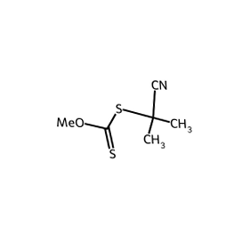 COC(=S)SC(C)(C)C#N